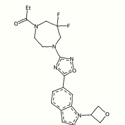 CCC(=O)N1CCN(c2noc(-c3ccc4cnn(C5COC5)c4c3)n2)CC(F)(F)C1